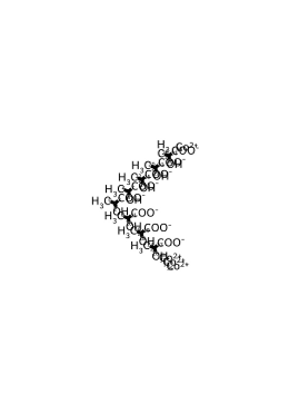 CC(O)C(=O)[O-].CC(O)C(=O)[O-].CC(O)C(=O)[O-].CC(O)C(=O)[O-].CC(O)C(=O)[O-].CC(O)C(=O)[O-].CC(O)C(=O)[O-].CC(O)C(=O)[O-].[Co+2].[Co+2].[Co+2].[Co+2]